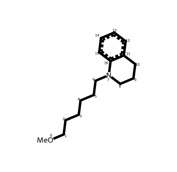 COCCCCCCN1CCCc2ccccc21